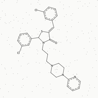 O=C1C(=Cc2cccc(Cl)c2)SC(c2cccc(Cl)c2)N1CCCN1CCN(c2ccccn2)CC1